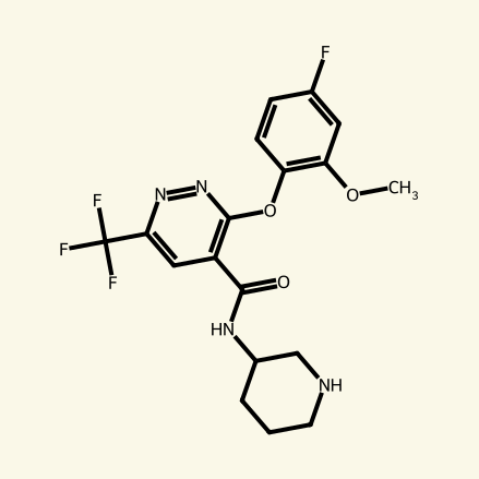 COc1cc(F)ccc1Oc1nnc(C(F)(F)F)cc1C(=O)NC1CCCNC1